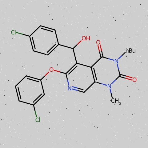 CCCCn1c(=O)c2c(C(O)c3ccc(Cl)cc3)c(Oc3cccc(Cl)c3)ncc2n(C)c1=O